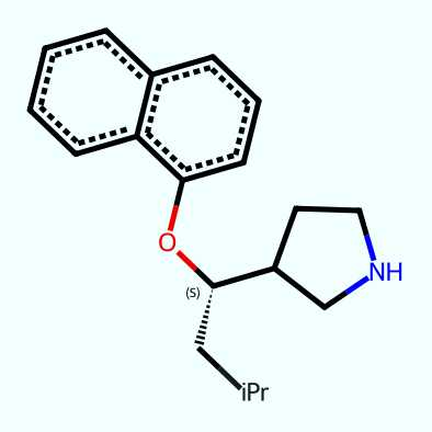 CC(C)C[C@H](Oc1cccc2ccccc12)C1CCNC1